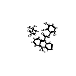 C[n+]1c2ccccc2c(C(=O)Oc2c(F)ccc(F)c2F)c2ccccc21.O=S(=O)([O-])C(F)(F)F